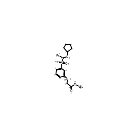 CC(C)N(OC1CCCC1)S(=O)(=O)c1cccc(NCC(=O)OC(C)(C)C)c1